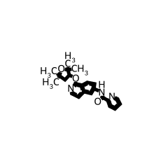 CC1(C)CC(Oc2nccc3cc(NC(=O)c4ccccn4)ccc23)C(C)(C)O1